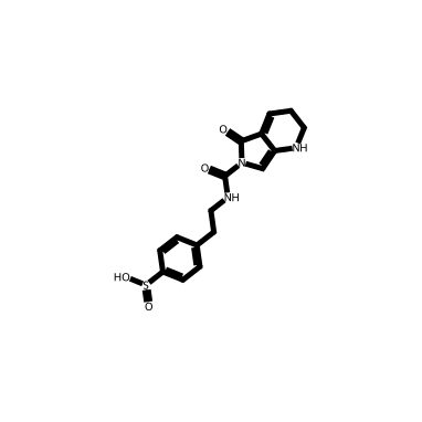 O=C(NCCc1ccc(S(=O)O)cc1)N1C=C2NCCC=C2C1=O